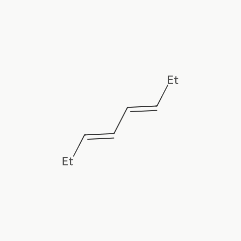 CCC=CC=CCC